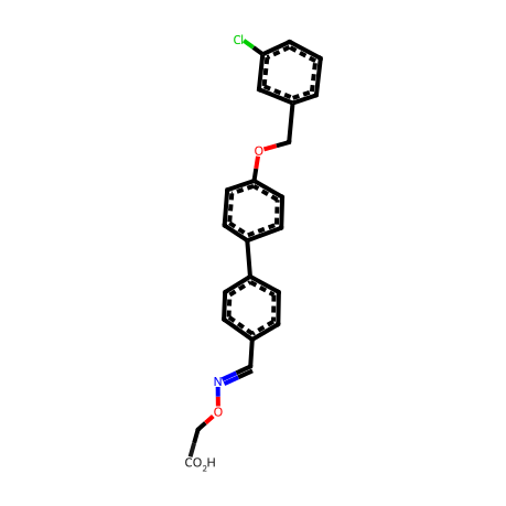 O=C(O)CO/N=C/c1ccc(-c2ccc(OCc3cccc(Cl)c3)cc2)cc1